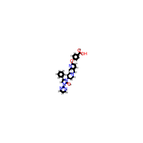 Cc1nc(Oc2ccc(C(=O)O)cc2)ccc1CN1CCC(N2C(=O)N(c3ncccn3)C[C@H]2c2ccccc2)CC1